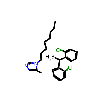 BC(c1ccccc1Cl)c1ccccc1Cl.CCCCCCCCn1cncc1C